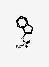 O=S(=O)(OC1=CCc2ccccc21)C(F)(F)F